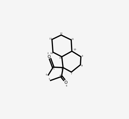 CC(=O)C1(C(C)=O)CCCC2CCCCC21